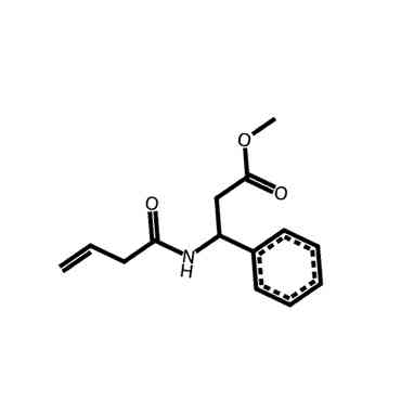 C=CCC(=O)NC(CC(=O)OC)c1ccccc1